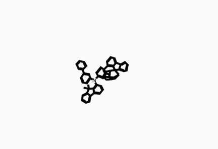 Cc1cc(N(c2cccc(-c3ccccc3)c2)c2cccc3c2C(C)(C)c2ccccc2-3)ccc1-c1cccc2c1C1(c3ccccc3-2)C2CC3CC(C2)CC1C3